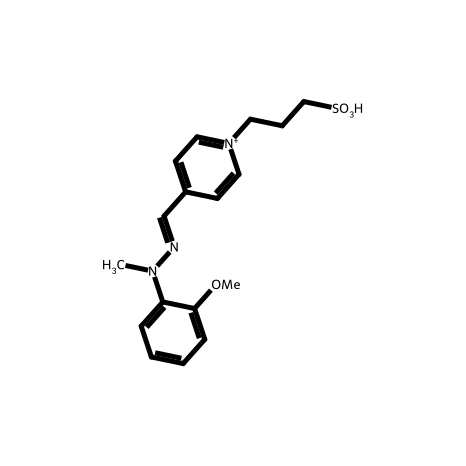 COc1ccccc1N(C)N=Cc1cc[n+](CCCS(=O)(=O)O)cc1